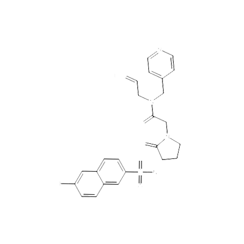 C=CCN(Cc1ccncc1)C(=O)[C@H](C)N1CC[C@H](NS(=O)(=O)c2ccc3cc(Cl)ccc3c2)C1=O